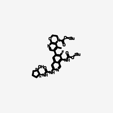 Cc1c(-c2cc3cc(NC(=O)N[C@H]4CCC[C@H]4O)ncc3c(NC(=O)OC(C)(C)C)c2F)cnc2c1N(C(=O)OC(C)(C)C)CCO2